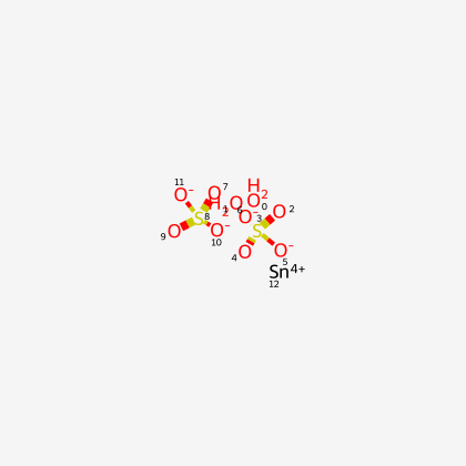 O.O.O=S(=O)([O-])[O-].O=S(=O)([O-])[O-].[Sn+4]